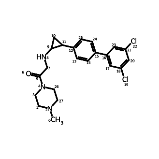 CN1CCN(C(=O)CNC2CC2c2ccc(-c3cc(Cl)cc(Cl)c3)cc2)CC1